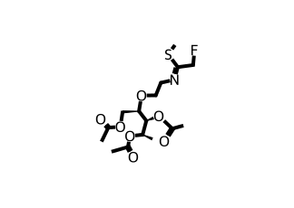 CS/C(CF)=N\CCO[C@H](COC(C)=O)[C@@H](OC(C)=O)[C@@H](C)OC(C)=O